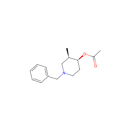 CC(=O)O[C@H]1CCN(Cc2ccccc2)C[C@H]1C